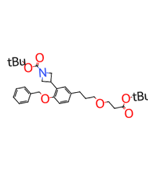 CC(C)(C)OC(=O)CCOCCCc1ccc(OCc2ccccc2)c(C2CN(C(=O)OC(C)(C)C)C2)c1